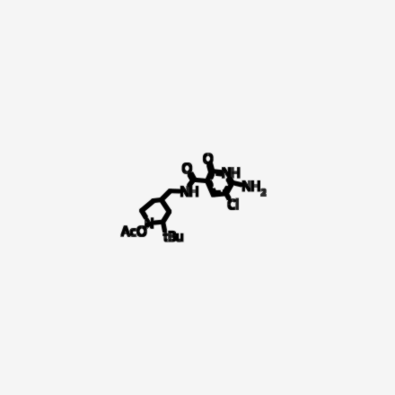 CC(=O)ON1CCC(CNC(=O)c2cc(Cl)c(N)[nH]c2=O)CC1C(C)(C)C